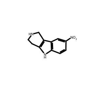 O=[N+]([O-])c1ccc2[nH]c3c(c2c1)CNCC3